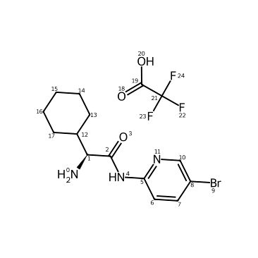 N[C@H](C(=O)Nc1ccc(Br)cn1)C1CCCCC1.O=C(O)C(F)(F)F